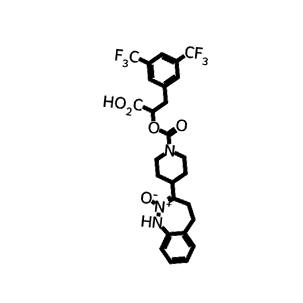 O=C(O)C(Cc1cc(C(F)(F)F)cc(C(F)(F)F)c1)OC(=O)N1CCC(C2=[N+]([O-])Nc3ccccc3CC2)CC1